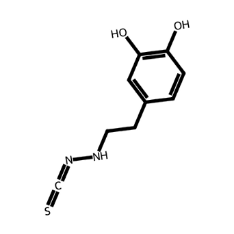 Oc1ccc(CCNN=C=S)cc1O